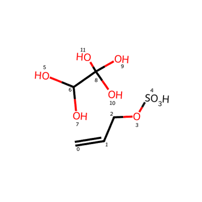 C=CCOS(=O)(=O)O.OC(O)C(O)(O)O